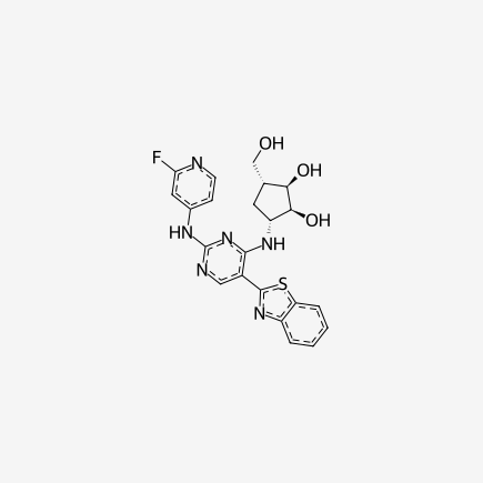 OC[C@H]1C[C@@H](Nc2nc(Nc3ccnc(F)c3)ncc2-c2nc3ccccc3s2)[C@H](O)[C@@H]1O